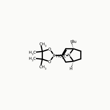 CC1(C)OB(C2=C[C@@]3(C(C)(C)C)CC[C@@H](C2)N3C(=O)O)OC1(C)C